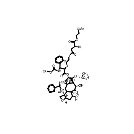 COCCOC(=O)[C@@H](N)CC(=O)OCC(=O)OC(C(=O)O[C@H]1C[C@@]2(O)[C@@H](OC(=O)c3ccccc3)[C@@H]3[C@]4(OC(C)=O)CO[C@@H]4C[C@H](O)[C@@]3(C)C(=O)[C@H](O)C(=C1C)C2(C)C)C(NC(=O)OC(C)(C)C)c1ccccc1.CS(=O)(=O)O